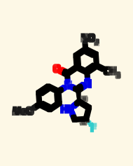 COc1ccc(-n2c([C@H]3C[C@H](F)CN3)nc3c(C)cc([N+](=O)[O-])cc3c2=O)cc1